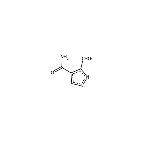 NC(=O)c1c[nH]nc1[C]=O